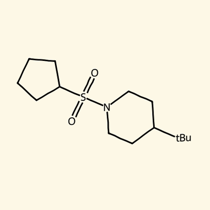 CC(C)(C)C1CCN(S(=O)(=O)C2CCCC2)CC1